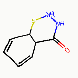 O=C1NNSC2C=CC=CC12